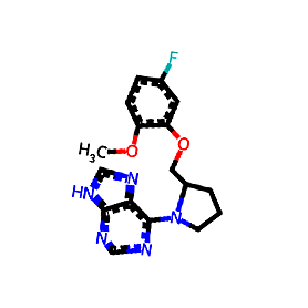 COc1ccc(F)cc1OCC1CCCN1c1ncnc2[nH]cnc12